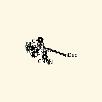 CCCCCCCCCCCCCCCCCCOC[C@H](COP(=O)(OC[C@@](C#N)(OC)[C@H]1OC(C)(C)O[C@H]1c1ccc2c(N)ncnn12)Oc1ccccc1Cl)OCc1ccc(C#N)c(-n2cncn2)c1